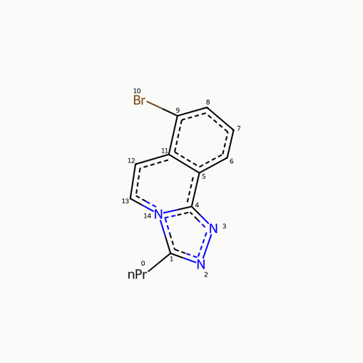 CCCc1nnc2c3cccc(Br)c3ccn12